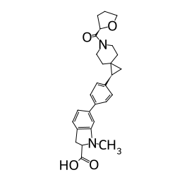 CN1c2cc(-c3ccc([C@@H]4CC45CCN(C(=O)[C@H]4CCCO4)CC5)cc3)ccc2CC1C(=O)O